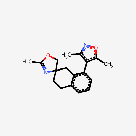 CC1=NC2(CCc3cccc(-c4c(C)noc4C)c3C2)CO1